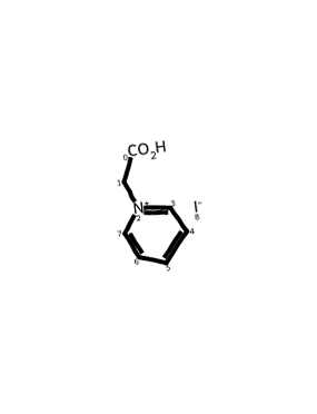 O=C(O)C[n+]1ccccc1.[I-]